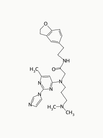 Cc1cc(N(CCCN(C)C)CC(=O)NCCc2ccc3c(c2)CCO3)nc(-n2ccnc2)n1